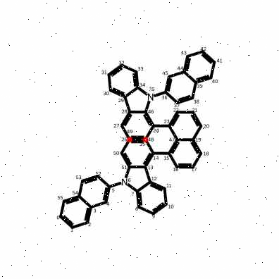 c1ccc2cc(-n3c4ccccc4c4c(-c5cccc6cccc(-c7cccc8c9ccccc9n(-c9ccc%10ccccc%10c9)c78)c56)cccc43)ccc2c1